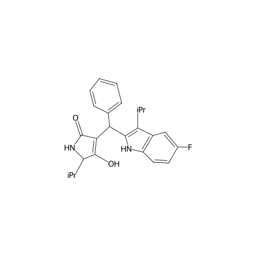 CC(C)c1c(C(C2=C(O)C(C(C)C)NC2=O)c2ccccc2)[nH]c2ccc(F)cc12